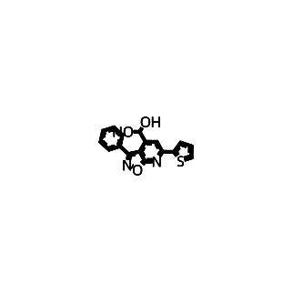 OC(O)c1cc(-c2cccs2)nc2onc(-c3ccccc3)c12